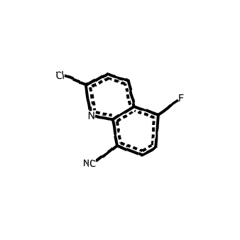 N#Cc1ccc(F)c2ccc(Cl)nc12